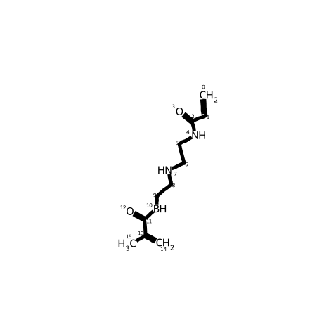 C=CC(=O)NCCNCCBC(=O)C(=C)C